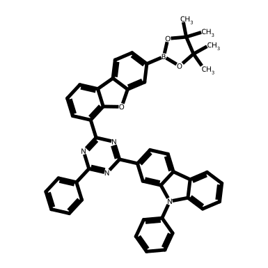 CC1(C)OB(c2ccc3c(c2)oc2c(-c4nc(-c5ccccc5)nc(-c5ccc6c7ccccc7n(-c7ccccc7)c6c5)n4)cccc23)OC1(C)C